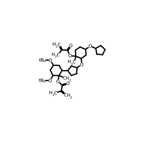 C=C(C)C(=O)OC1(C)CCC(OC2CCCC2)CC1OC1CCC(C2CC(OC(C)(C)C)CC(OC(C)(C)C)C2(C)OC(=O)C(=C)C)C1